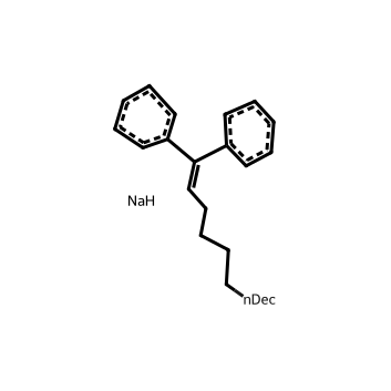 CCCCCCCCCCCCCCC=C(c1ccccc1)c1ccccc1.[NaH]